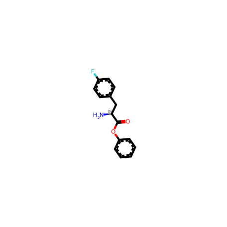 N[C@@H](Cc1ccc(F)cc1)C(=O)Oc1ccccc1